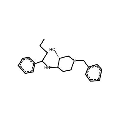 CCCC(N[C@@H]1CCN(Cc2ccccc2)C[C@H]1O)c1ccccc1